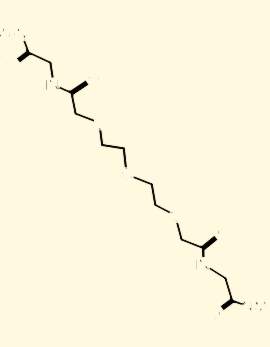 CNC(=O)CNC(=O)CSCCOCCSCC(=O)NCC(=O)NC